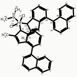 CC1=Cc2c(-c3cccc4ccccc34)cccc2[CH]1[Hf]([Cl])([Cl])([CH]1C(C)=Cc2c(-c3cccc4ccccc34)cccc21)[SiH](C)C